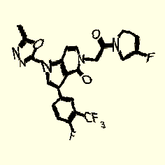 Cc1nnc(-n2cc(-c3ccc(F)c(C(F)(F)F)c3)c3c(=O)n(CC(=O)N4CCC(F)C4)ccc32)o1